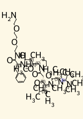 CC[C@H](C)[C@@H]([C@@H](CC(=O)N1CCC[C@H]1[C@H](OC)[C@@H](C)C(=O)N[C@@H](Cc1ccccc1)C(=O)NCCOCCOCCN)OC)N(C)C(=O)[C@@H](/N=C(\C(C)C)N(C)C)C(C)C